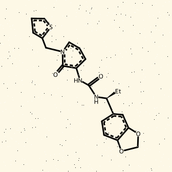 CC[C@H](NC(=O)Nc1cccn(Cc2cccs2)c1=O)c1ccc2c(c1)OCO2